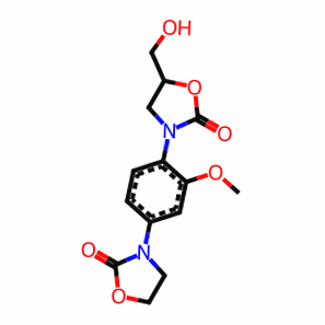 COc1cc(N2CCOC2=O)ccc1N1CC(CO)OC1=O